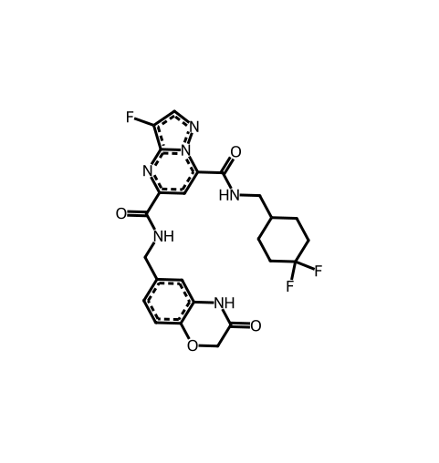 O=C1COc2ccc(CNC(=O)c3cc(C(=O)NCC4CCC(F)(F)CC4)n4ncc(F)c4n3)cc2N1